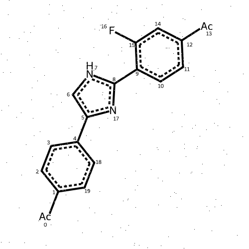 CC(=O)c1ccc(-c2c[nH]c(-c3ccc(C(C)=O)cc3F)n2)cc1